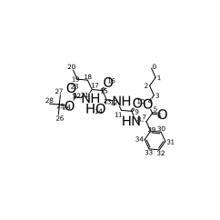 CCCCOC(=O)[C@@H](NC(=O)CN[C@@H](O)C(=O)C(CCC)NC(=O)OC(C)(C)C)c1ccccc1